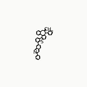 C=C1Cc2ccccc2-c2c(ccc3sc4c(-c5ccc6cc(-c7ccccc7)ncc6c5)cccc4c23)C1c1ccccc1